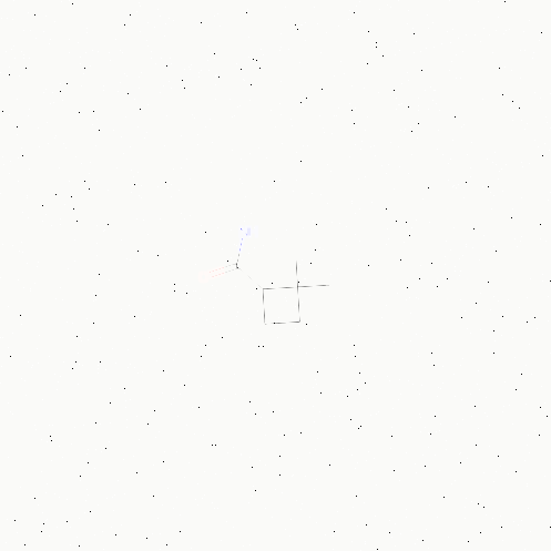 CC1(C)CCC1C([NH])=O